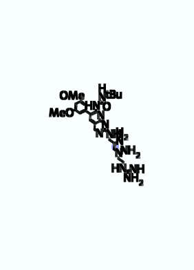 COc1cc(OC)cc(-c2cc3cnc(NC/C(N)=C/N(N)CCNC(=N)N)nc3nc2NC(=O)NC(C)(C)C)c1